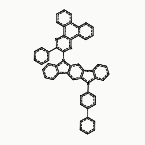 c1ccc(-c2ccc(-n3c4ccccc4c4cc5c(cc43)c3ccccc3n5-c3nc4c5ccccc5c5ccccc5c4nc3-c3ccccc3)cc2)cc1